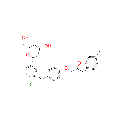 Cc1ccc2c(c1)OC(COc1ccc(Cc3cc([C@H]4C[C@@H](O)C[C@@H](CO)O4)ccc3Cl)cc1)C2